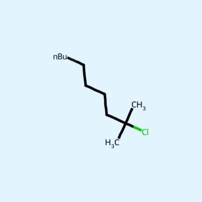 CCCCCCCCC(C)(C)Cl